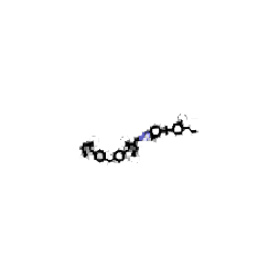 C=CCc1ccc(C(C)(C)c2ccc(/C=C/CC3=CC(=O)N(c4ccc(Cc5ccc(N6C(=O)C=CC6=O)cc5)cc4)C3=O)c(O)c2)cc1O